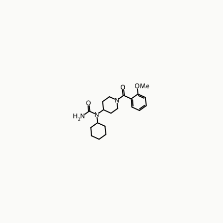 COc1ccccc1C(=O)N1CCC(N(C(N)=O)C2CCCCC2)CC1